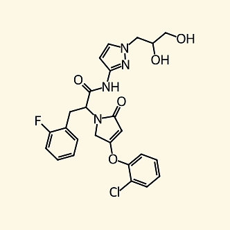 O=C(Nc1ccn(CC(O)CO)n1)C(Cc1ccccc1F)N1CC(Oc2ccccc2Cl)=CC1=O